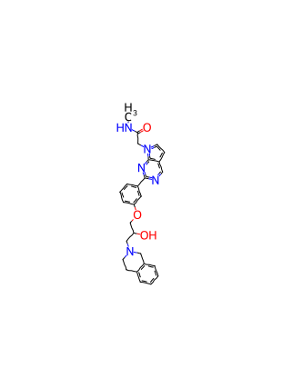 CNC(=O)Cn1ccc2cnc(-c3cccc(OCC(O)CN4CCc5ccccc5C4)c3)nc21